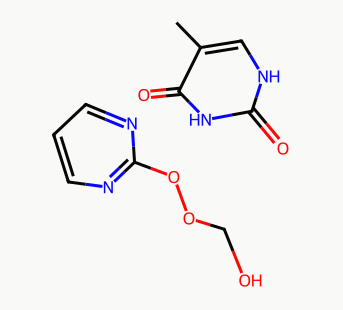 Cc1c[nH]c(=O)[nH]c1=O.OCOOc1ncccn1